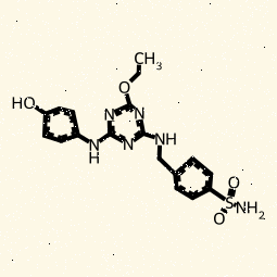 CCOc1nc(NCc2ccc(S(N)(=O)=O)cc2)nc(Nc2ccc(O)cc2)n1